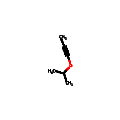 CC#COC(C)C